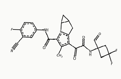 Cc1c(C(=O)C(=O)NC2(C=O)CC(F)(F)C2)c2n(c1C(=O)Nc1ccc(F)c(C#N)c1)C1CC1C2